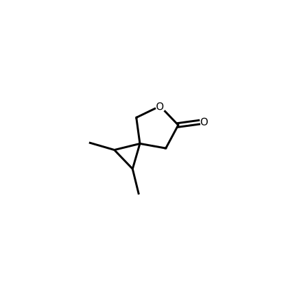 CC1C(C)C12COC(=O)C2